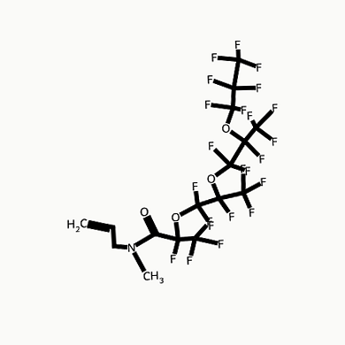 C=CCN(C)C(=O)C(F)(OC(F)(F)C(F)(OC(F)(F)C(F)(OC(F)(F)C(F)(F)C(F)(F)F)C(F)(F)F)C(F)(F)F)C(F)(F)F